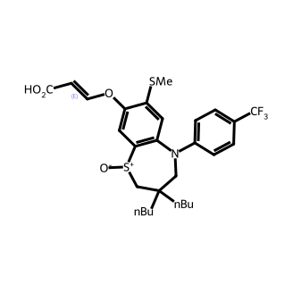 CCCCC1(CCCC)CN(c2ccc(C(F)(F)F)cc2)c2cc(SC)c(O/C=C/C(=O)O)cc2[S+]([O-])C1